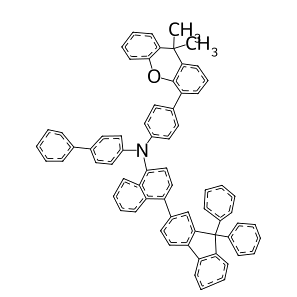 CC1(C)c2ccccc2Oc2c(-c3ccc(N(c4ccc(-c5ccccc5)cc4)c4ccc(-c5ccc6c(c5)C(c5ccccc5)(c5ccccc5)c5ccccc5-6)c5ccccc45)cc3)cccc21